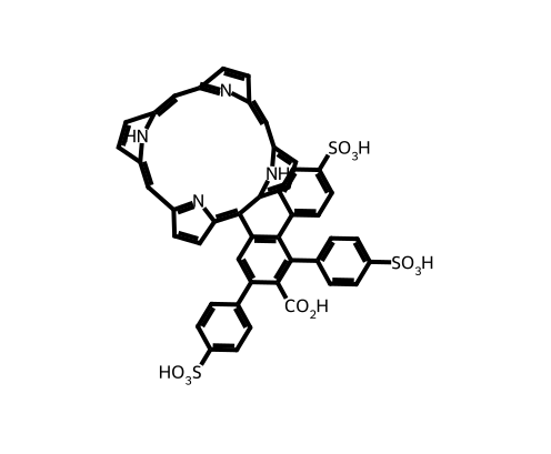 O=C(O)c1c(-c2ccc(S(=O)(=O)O)cc2)cc(-c2c3nc(cc4ccc(cc5nc(cc6ccc2[nH]6)C=C5)[nH]4)C=C3)c(-c2ccc(S(=O)(=O)O)cc2)c1-c1ccc(S(=O)(=O)O)cc1